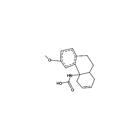 COc1ccc2c(c1)C1(NC(=O)O)CC=CCC1CC2